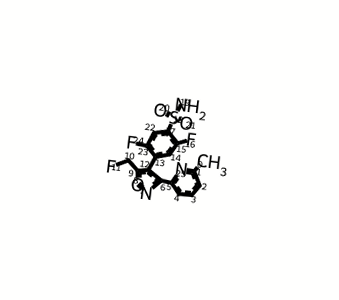 Cc1cccc(-c2noc(CF)c2-c2cc(F)c(S(N)(=O)=O)cc2F)n1